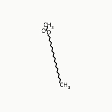 CCCCCCCCCCCCCCCCCCCCOC(=O)CC